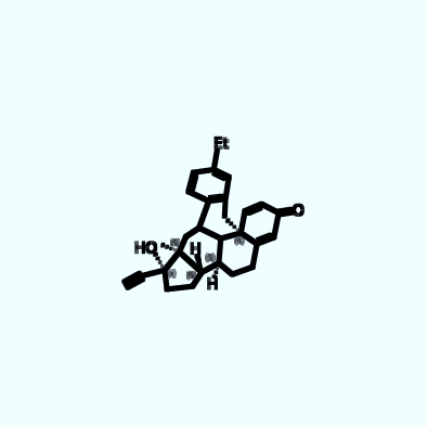 C#C[C@]1(O)CC[C@H]2[C@@H]3CCC4=CC(=O)C=C[C@@]45Cc4cc(CC)ccc4C(C[C@@]21C)C35